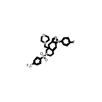 O=S(=O)(c1ccc(C(F)(F)F)cc1)N1CCC2=Cc3c(cnn3-c3ccc(F)cc3)CC2(CN2CCOCC2)C1